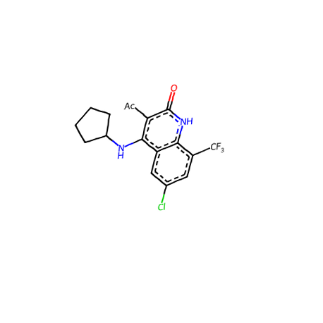 CC(=O)c1c(NC2CCCC2)c2cc(Cl)cc(C(F)(F)F)c2[nH]c1=O